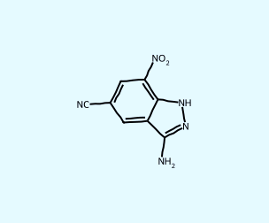 N#Cc1cc([N+](=O)[O-])c2[nH]nc(N)c2c1